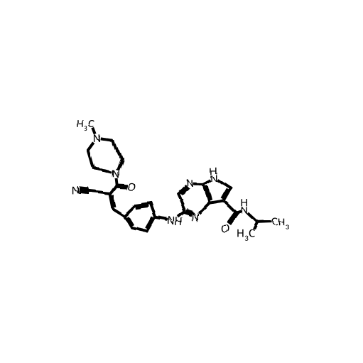 CC(C)NC(=O)c1c[nH]c2ncc(Nc3ccc(C=C(C#N)C(=O)N4CCN(C)CC4)cc3)nc12